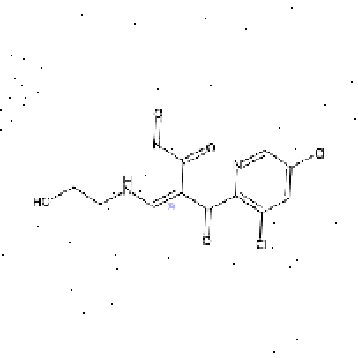 O=NC(=O)/C(=C\NCCO)C(=O)c1ncc(Cl)cc1Cl